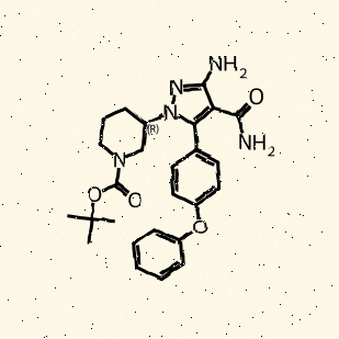 CC(C)(C)OC(=O)N1CCC[C@@H](n2nc(N)c(C(N)=O)c2-c2ccc(Oc3ccccc3)cc2)C1